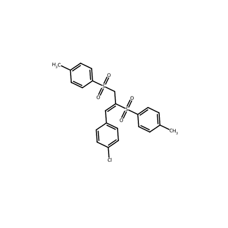 Cc1ccc(S(=O)(=O)CC(=Cc2ccc(Cl)cc2)S(=O)(=O)c2ccc(C)cc2)cc1